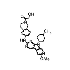 COc1cc2c3cnc(Nc4ccc5c(n4)CCN(C(=O)CO)C5)nc3n(C3CCC(C)CC3)c2cn1